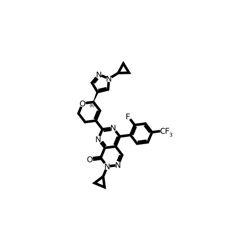 O=c1c2nc(C3=C[C@H](c4cnn(C5CC5)c4)OCC3)nc(-c3ccc(C(F)(F)F)cc3F)c2cnn1C1CC1